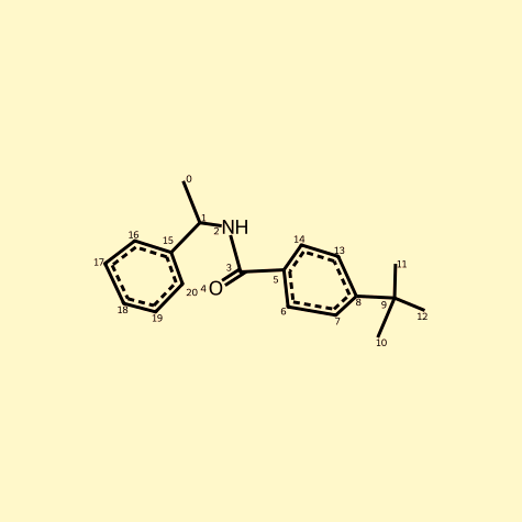 CC(NC(=O)c1ccc(C(C)(C)C)cc1)c1ccccc1